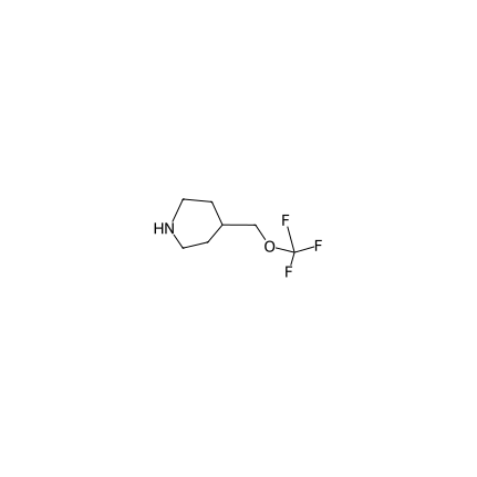 FC(F)(F)OCC1CCNCC1